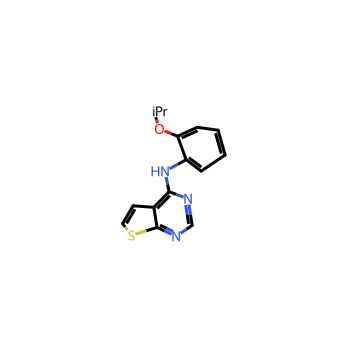 CC(C)Oc1ccccc1Nc1ncnc2sccc12